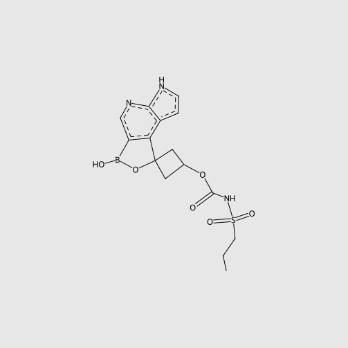 CCCS(=O)(=O)NC(=O)OC1CC2(C1)OB(O)c1cnc3[nH]ccc3c12